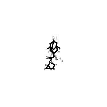 CC12CC3(C)CC(O)(C1)CC([C@H](N)C(=O)N1CCC4CC41)(C2)C3